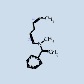 C=C(c1ccccc1)N(C)/C=C\C/C=C\C